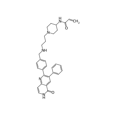 C=CC(=O)NC1CCN(CCCNCc2ccc(-c3nc4cc[nH]c(=O)c4cc3-c3ccccc3)cc2)CC1